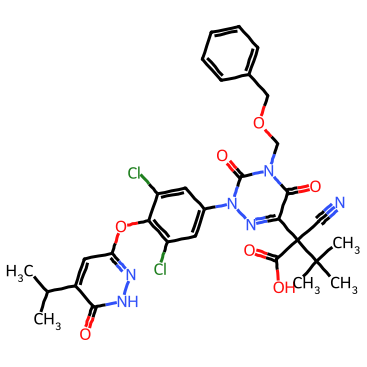 CC(C)c1cc(Oc2c(Cl)cc(-n3nc(C(C#N)(C(=O)O)C(C)(C)C)c(=O)n(COCc4ccccc4)c3=O)cc2Cl)n[nH]c1=O